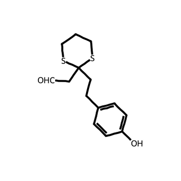 O=CCC1(CCc2ccc(O)cc2)SCCCS1